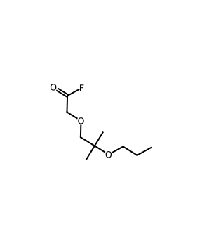 CCCOC(C)(C)COCC(=O)F